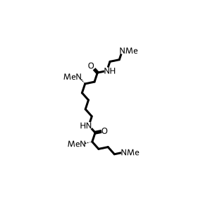 CNCCC[C@H](NC)C(=O)NCCCC[C@@H](CC(=O)NCCNC)NC